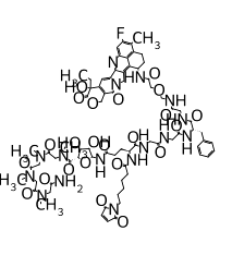 CC[C@@]1(O)C(=O)OCc2c1cc1n(c2=O)Cc2c-1nc1cc(F)c(C)c3c1c2[C@@H](NC(=O)COCNC(=O)CNC(=O)[C@H](Cc1ccccc1)NC(=O)CNC(=O)CNC(=O)[C@H](CCC(=O)NC1O[C@H](C(=O)N(C)CC(=O)N(C)CC(=O)N(C)CC(=O)N(C)CC(N)=O)[C@@H](O)[C@H]1O)NC(=O)CCCCCN1C(=O)C=CC1=O)CC3